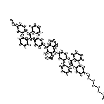 CCCCCCCCOc1ccc(/C(=C(\c2ccccc2)c2ccc(-c3c4c(c(-c5ccc(/C(=C(\c6ccccc6)c6ccc(OC)cc6)c6ccccc6)cc5)c5nsnc35)N=S=N4)cc2)c2ccccc2)cc1